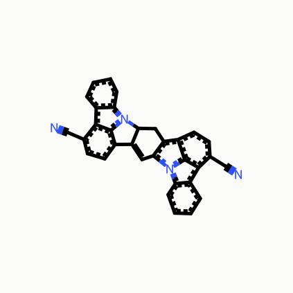 N#Cc1ccc2c3c1c1ccccc1n3C1Cc3c(n4c5ccccc5c5c(C#N)ccc3c54)C=C21